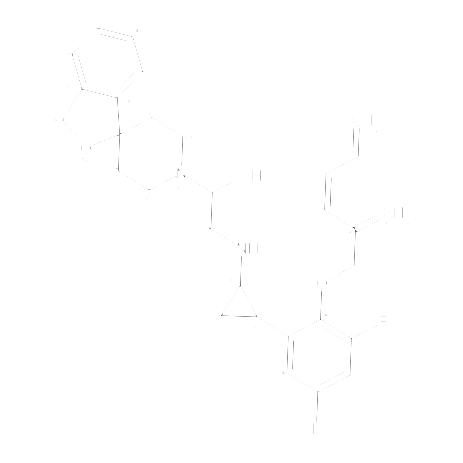 C=C/C=C\C(=C)COc1c(F)cc(F)cc1C1CC1NCC(O)N1CCC2(CC1)OCc1ccccc12